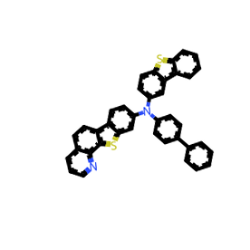 c1ccc(-c2ccc(N(c3ccc4c(c3)sc3c4ccc4cccnc43)c3ccc4sc5ccccc5c4c3)cc2)cc1